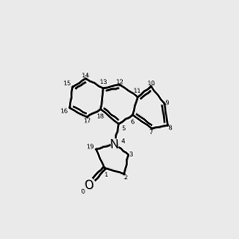 O=C1CCN(c2c3ccccc3cc3ccccc23)C1